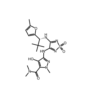 Cc1ccc([C@H](NC2=NS(=O)(=O)N=C2Nc2nn(C)c(C(=O)N(C)C)c2O)C(C)(C)C)o1